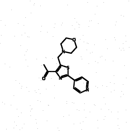 CC(=O)c1nc(-c2ccncc2)sc1CN1CCOCC1